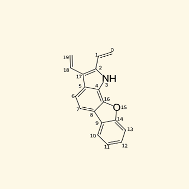 C=Cc1[nH]c2c(ccc3c4ccccc4oc32)c1C=C